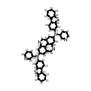 c1cncc(N(c2cc3cnc4cc(N(c5cccnc5)c5ccc6c(c5)sc5ccccc56)cc5cnc(c2)c3c54)c2ccc3c(c2)sc2ccccc23)c1